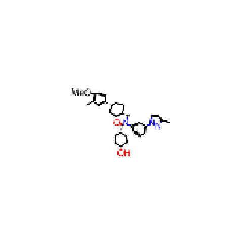 COc1ccc([C@H]2CC[C@H](CN(c3cccc(-n4ccc(C)n4)c3)C(=O)[C@H]3CC[C@H](O)CC3)CC2)cc1C